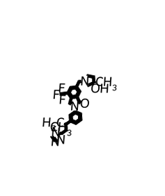 C[C@H](Cc1nncn1C)c1cccc(N2Cc3c(cc(CN4CC[C@](C)(O)C4)cc3C(F)(F)F)C2=O)c1